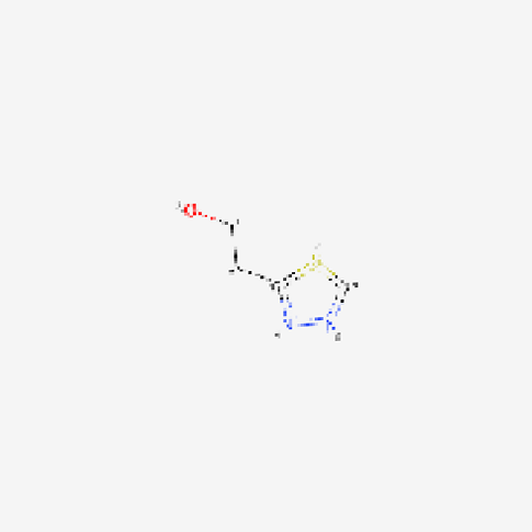 [O]CCc1nncs1